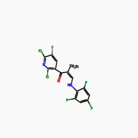 CCOC(=O)C(=CNc1c(F)cc(F)cc1F)C(=O)c1cc(F)c(Cl)nc1Cl